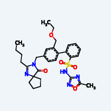 CCCCC1=NC2(CCCC2)C(=O)N1Cc1ccc(-c2ccccc2S(=O)(=O)Nc2noc(C)n2)c(COCC)c1